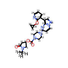 [2H]C([2H])([2H])N1C[C@@H](OC(=O)N2CCN(c3ccn4ncc(-c5cccnc5OC5CC5)c4n3)CC2)CC1=O